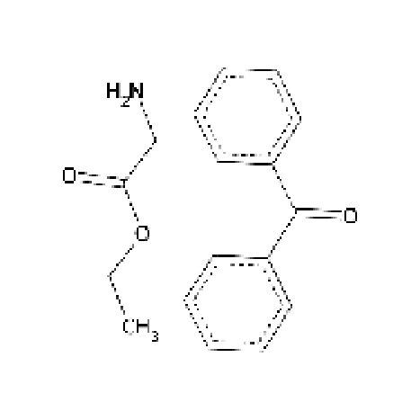 CCOC(=O)CN.O=C(c1ccccc1)c1ccccc1